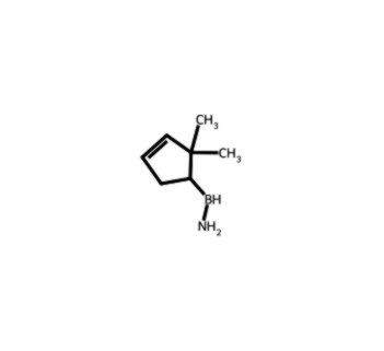 CC1(C)C=CCC1BN